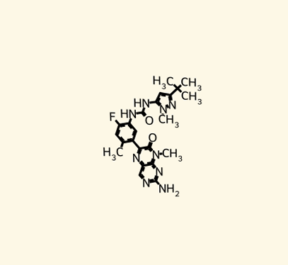 Cc1cc(F)c(NC(=O)Nc2cc(C(C)(C)C)nn2C)cc1-c1nc2cnc(N)nc2n(C)c1=O